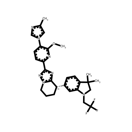 COc1nc(-c2nc3n(n2)CCC[C@H]3c2ccc3c(c2)N(CC(F)(F)F)CC3(C)C)ccc1-n1cnc(C)c1